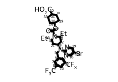 CC[C@@H]1C[C@@H](N(Cc2cc(C(F)(F)F)cc(C(F)(F)F)c2)c2ncc(Br)cn2)C[C@H](CC)N1C(=O)OC1CCC(C(=O)O)CC1